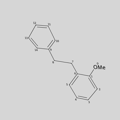 COc1ccccc1CCc1ccccc1